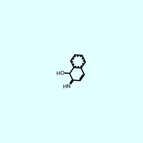 N=C1C=Cc2ccccc2C1O